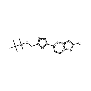 CC(C)(C)[Si](C)(C)OCc1nc(-c2ccc3nc(Cl)cn3c2)cs1